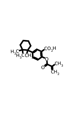 C=C(C)C(=O)Oc1ccc(C2(C)CCCCC2(C)C)cc1C(=O)O